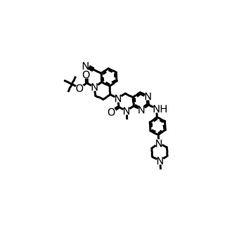 CN1CCN(c2ccc(Nc3ncc4c(n3)N(C)C(=O)N(C3CCN(C(=O)OC(C)(C)C)c5c(C#N)cccc53)C4)cc2)CC1